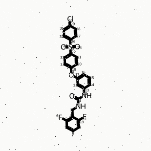 O=C(NCc1c(F)cccc1F)Nc1cccc(Oc2ccc(S(=O)(=O)c3ccc(Cl)cc3)cc2)c1